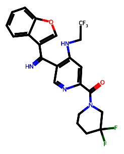 N=C(c1cnc(C(=O)N2CCCC(F)(F)C2)cc1NCC(F)(F)F)c1coc2ccccc12